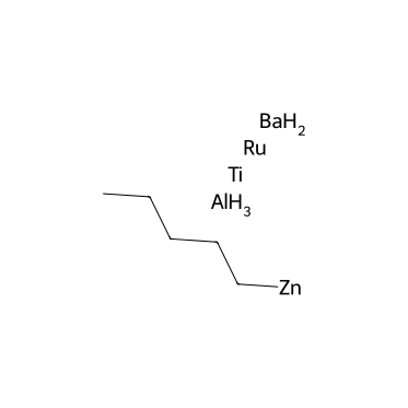 CCCC[CH2][Zn].[AlH3].[BaH2].[Ru].[Ti]